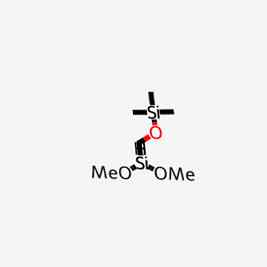 CO[SiH](CO[Si](C)(C)C)OC